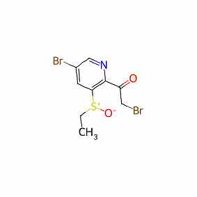 CC[S+]([O-])c1cc(Br)cnc1C(=O)CBr